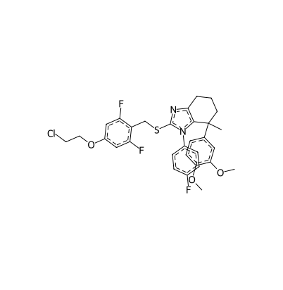 COc1ccc(C2(C)CCCc3nc(SCc4c(F)cc(OCCCl)cc4F)n(-c4ccc(F)cc4)c32)cc1OC